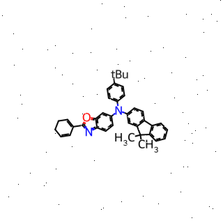 CC(C)(C)c1ccc(N(c2ccc3c(c2)C(C)(C)c2ccccc2-3)c2ccc3nc(C4=CCCC=C4)oc3c2)cc1